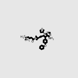 CN(C)C/C=C/C(=O)N1CC(C#Cc2c(-c3ccc(Oc4ccccc4)cc3)c3c(N)ncnc3n2[C@H]2CCOC2)C1